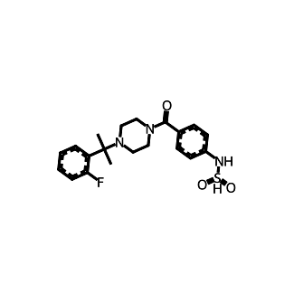 CC(C)(c1ccccc1F)N1CCN(C(=O)c2ccc(N[SH](=O)=O)cc2)CC1